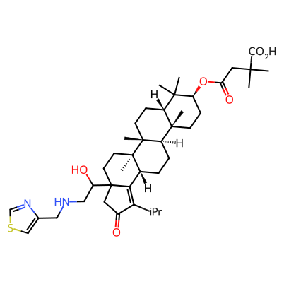 CC(C)C1=C2[C@H]3CC[C@@H]4[C@@]5(C)CC[C@H](OC(=O)CC(C)(C)C(=O)O)C(C)(C)[C@H]5CC[C@@]4(C)[C@]3(C)CCC2(C(O)CNCc2cscn2)CC1=O